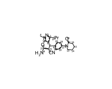 CC(C)c1nn(C)c2c1C(c1ccc(N3CCCCC3=O)cc1)C(C#N)=C(N)O2